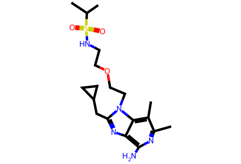 Cc1nc(N)c2nc(CC3CC3)n(CCOCCNS(=O)(=O)C(C)C)c2c1C